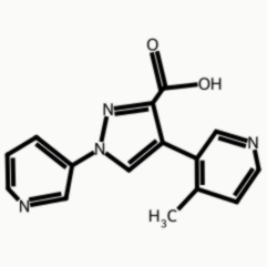 Cc1ccncc1-c1cn(-c2cccnc2)nc1C(=O)O